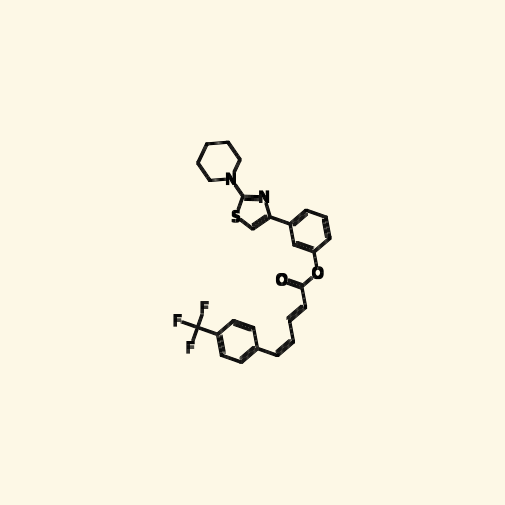 O=C(/C=C/C=C\c1ccc(C(F)(F)F)cc1)Oc1cccc(-c2csc(N3CCCCC3)n2)c1